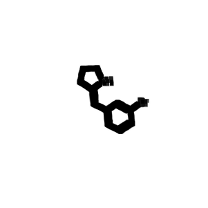 Brc1cccc(C=C2CCCN2)c1